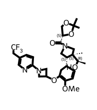 COC1=C(OC2CN(c3ccc(CC(F)(F)F)cn3)C2)CC([C@@H]2CN(C(=O)[C@@H]3COC(C)(C)O3)C[C@@]2(C)[C@@H](C)O)C=C1